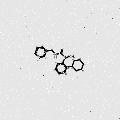 CN(C(=O)NCc1cccnc1)c1ccccc1C1CCCCC1